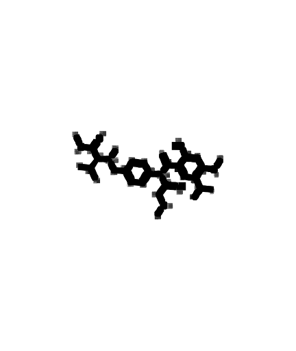 C=C(c1cc(C(C)C)c(OC)cc1O)N(C(=N)COC)c1ccc(CN(C)[C@H](C(=O)OC)C(C)C)cc1